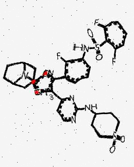 CC1(C#N)CC2CCC(C1)N2c1nc(-c2cccc(NS(=O)(=O)c3c(F)cccc3F)c2F)c(-c2ccnc(NC3CCS(=O)(=O)CC3)n2)s1